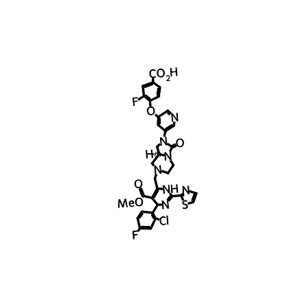 COC(=O)C1=C(CN2CCN3C(=O)N(c4cncc(Oc5ccc(C(=O)O)cc5F)c4)C[C@@H]3C2)NC(c2nccs2)=NC1c1ccc(F)cc1Cl